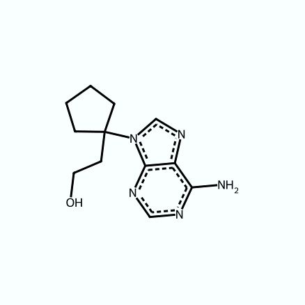 Nc1ncnc2c1ncn2C1(CCO)CCCC1